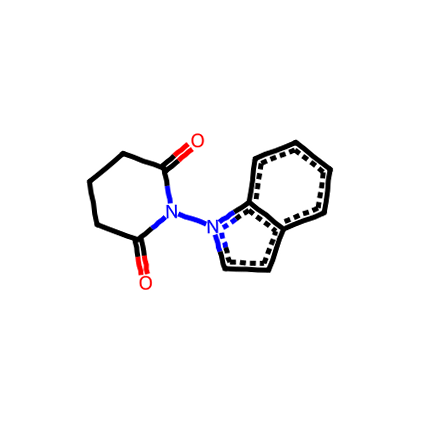 O=C1CCCC(=O)N1n1ccc2ccccc21